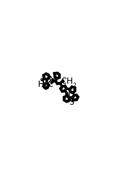 C=C/C(=C\c1c(C)n(-c2cccc3sc4ccccc4c23)c2ccccc12)c1ccc2c(c1)c1ccccc1n2-c1cccc2sc3ccccc3c12